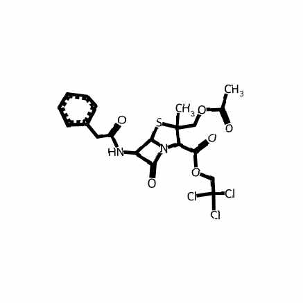 CC(=O)OCC1(C)SC2C(NC(=O)Cc3ccccc3)C(=O)N2C1C(=O)OCC(Cl)(Cl)Cl